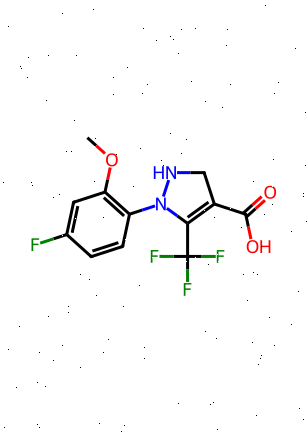 COc1cc(F)ccc1N1NCC(C(=O)O)=C1C(F)(F)F